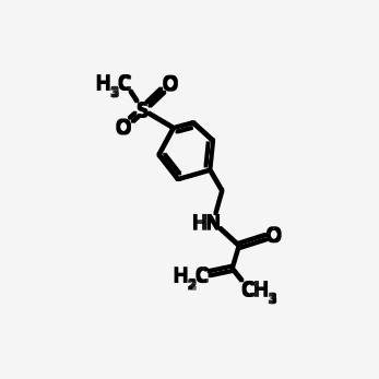 C=C(C)C(=O)NCc1ccc(S(C)(=O)=O)cc1